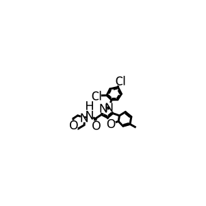 CC1=CC2Oc3c(C(=O)NN4CCOCC4)nn(-c4ccc(Cl)cc4Cl)c3C2C=C1